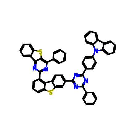 c1ccc(-c2nc(-c3ccc(-n4c5ccccc5c5ccccc54)cc3)nc(-c3ccc4c(c3)sc3cccc(-c5nc(-c6ccccc6)c6sc7ccccc7c6n5)c34)n2)cc1